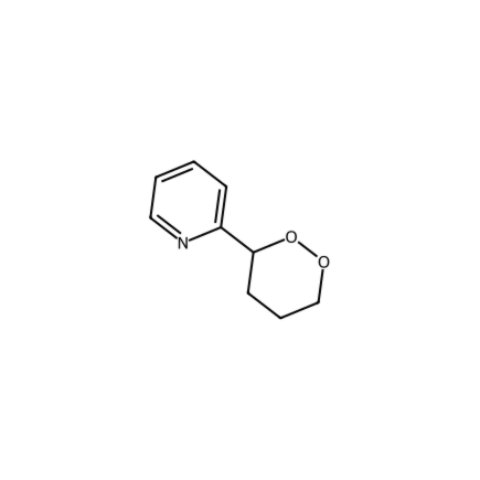 c1ccc(C2CCCOO2)nc1